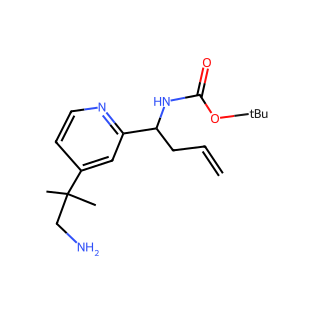 C=CCC(NC(=O)OC(C)(C)C)c1cc(C(C)(C)CN)ccn1